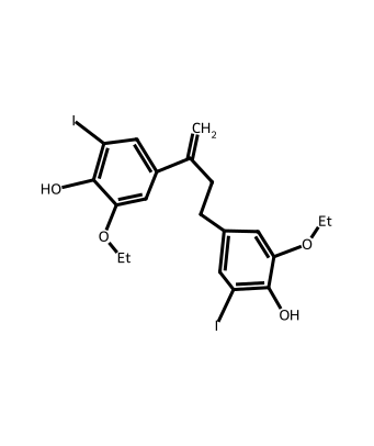 C=C(CCc1cc(I)c(O)c(OCC)c1)c1cc(I)c(O)c(OCC)c1